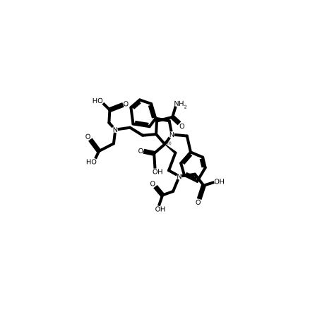 NC(=O)CC(CCN(CC(=O)O)CC(=O)O)[C@@](CCN(CC(=O)O)CC(=O)O)(C(=O)O)N(Cc1ccccc1)Cc1ccccc1